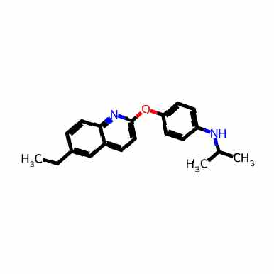 CCc1ccc2nc(Oc3ccc(NC(C)C)cc3)ccc2c1